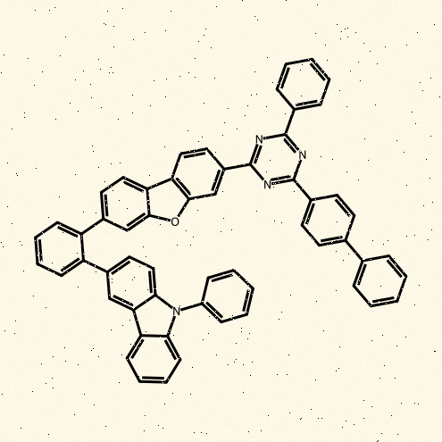 c1ccc(-c2ccc(-c3nc(-c4ccccc4)nc(-c4ccc5c(c4)oc4cc(-c6ccccc6-c6ccc7c(c6)c6ccccc6n7-c6ccccc6)ccc45)n3)cc2)cc1